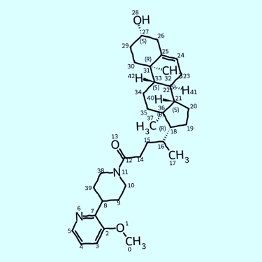 COc1cccnc1C1CCN(C(=O)CCC(C)[C@H]2CC[C@H]3[C@@H]4CC=C5C[C@@H](O)CC[C@]5(C)[C@H]4CC[C@]23C)CC1